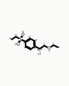 CCOC[C@H](C)c1ccc(S(=O)(=O)CC)cc1